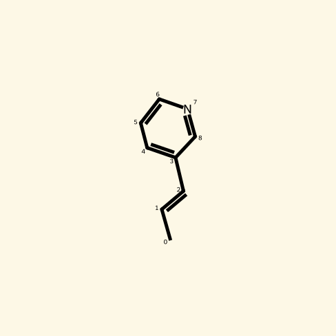 C/C=C/c1cccnc1